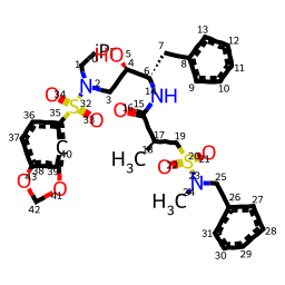 CC(C)CN(C[C@@H](O)[C@H](Cc1ccccc1)NC(=O)[C@H](C)CS(=O)(=O)N(C)Cc1ccccc1)S(=O)(=O)c1ccc2c(c1)OCO2